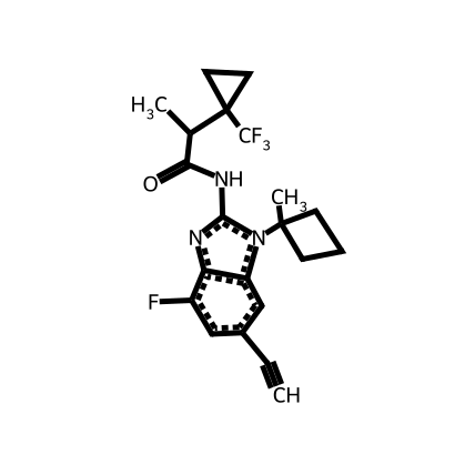 C#Cc1cc(F)c2nc(NC(=O)C(C)C3(C(F)(F)F)CC3)n(C3(C)CCC3)c2c1